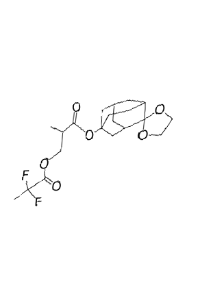 CC(COC(=O)C(C)(F)F)C(=O)OC12CC3CC(C1)C1(OCCO1)C(C3)C2